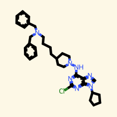 Clc1nc(NN2CCC(CCCCN(Cc3ccccc3)Cc3ccccc3)CC2)c2ncn(C3CCCC3)c2n1